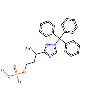 CCOP(=O)(CC)OCCC(OC(C)=O)c1ncn(C(c2ccccc2)(c2ccccc2)c2ccccc2)n1